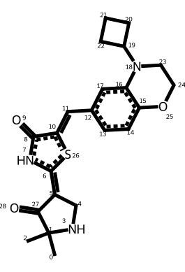 CC1(C)NC/C(=c2/[nH]c(=O)/c(=C/c3ccc4c(c3)N(C3CCC3)CCO4)s2)C1=O